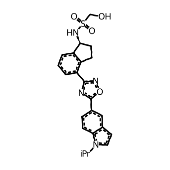 CC(C)n1ccc2cc(-c3nc(-c4cccc5c4CC[C@@H]5NS(=O)(=O)CO)no3)ccc21